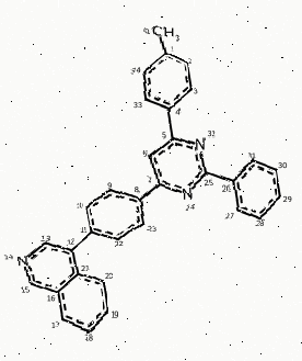 Cc1ccc(-c2cc(-c3ccc(-c4cncc5ccccc45)cc3)nc(-c3ccccc3)n2)cc1